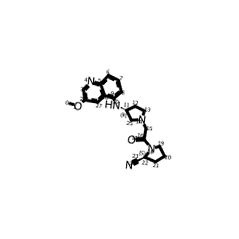 COc1cnc2cccc(N[C@@H]3CCN(CC(=O)N4CCC[C@H]4C#N)C3)c2c1